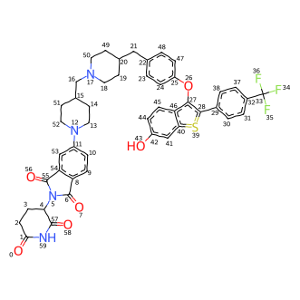 O=C1CCC(N2C(=O)c3ccc(N4CCC(CN5CCC(Cc6ccc(Oc7c(-c8ccc(C(F)(F)F)cc8)sc8cc(O)ccc78)cc6)CC5)CC4)cc3C2=O)C(=O)N1